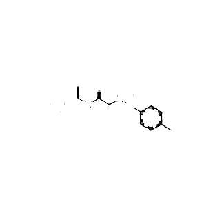 Cc1ccc(S(=O)(=O)NCC(=O)N[C@@H](C)C(=O)O)cc1